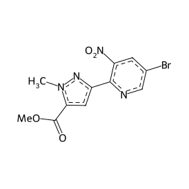 COC(=O)c1cc(-c2ncc(Br)cc2[N+](=O)[O-])nn1C